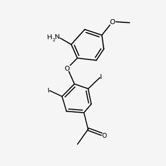 COc1ccc(Oc2c(I)cc(C(C)=O)cc2I)c(N)c1